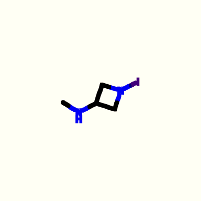 CNC1CN(I)C1